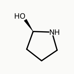 O[C@@H]1CCCN1